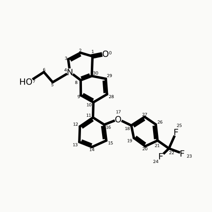 O=c1ccn(CCO)c2cc(-c3ccccc3Oc3ccc(C(F)(F)F)cc3)ccc12